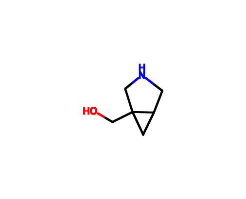 OCC12CNCC1C2